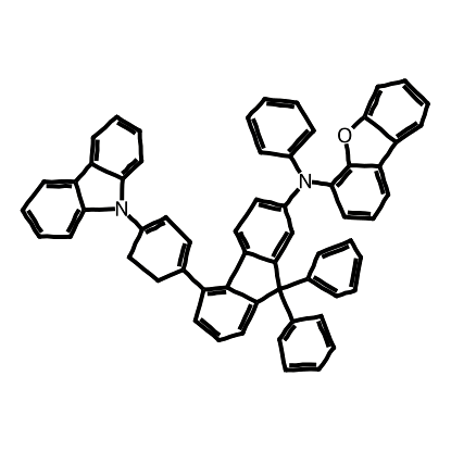 C1=C(c2cccc3c2-c2ccc(N(c4ccccc4)c4cccc5c4oc4ccccc45)cc2C3(c2ccccc2)c2ccccc2)CCC(n2c3ccccc3c3ccccc32)=C1